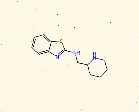 c1ccc2sc(NCC3CCCCN3)nc2c1